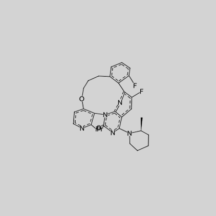 CC(C)c1nccc2c1-n1c(=O)nc(N3CCCC[C@@H]3C)c3cc(F)c(nc31)-c1c(F)cccc1CCCO2